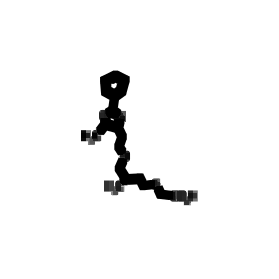 CC(=CCSCC(=O)O)COCCc1nc(-c2ccccc2)oc1C